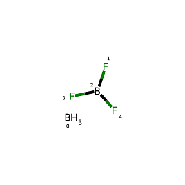 B.FB(F)F